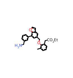 CCOC(=O)Cc1cccc(C)c1OCc1cc(-c2cccc(CN)c2)c2occc2c1